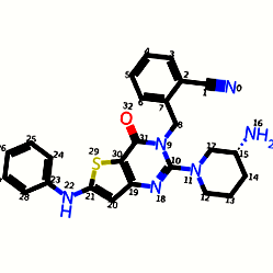 N#Cc1ccccc1Cn1c(N2CCC[C@@H](N)C2)nc2cc(Nc3ccccc3)sc2c1=O